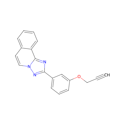 C#CCOc1cccc(-c2nc3c4ccccc4ccn3n2)c1